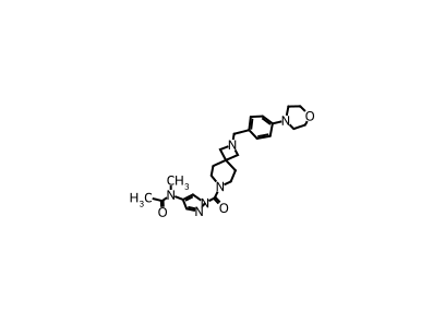 CC(=O)N(C)c1cnn(C(=O)N2CCC3(CC2)CN(Cc2ccc(N4CCOCC4)cc2)C3)c1